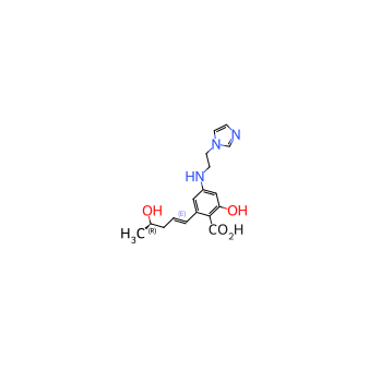 C[C@@H](O)C/C=C/c1cc(NCCn2ccnc2)cc(O)c1C(=O)O